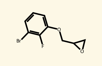 Fc1c(Br)cccc1OCC1CO1